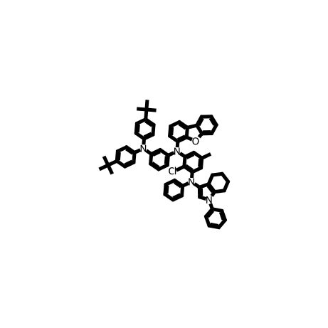 Cc1cc(N(c2ccccc2)c2cn(-c3ccccc3)c3c2CCCC3)c(Cl)c(N(c2cccc(N(c3ccc(C(C)(C)C)cc3)c3ccc(C(C)(C)C)cc3)c2)c2cccc3c2oc2ccccc23)c1